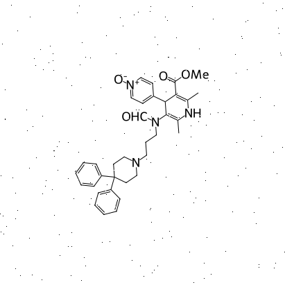 COC(=O)C1=C(C)NC(C)=C(N(C=O)CCCN2CCC(c3ccccc3)(c3ccccc3)CC2)C1c1cc[n+]([O-])cc1